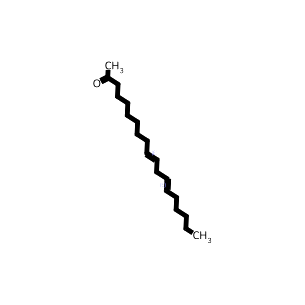 CCCCC/C=C/C/C=C/CCCCCCCC(C)=O